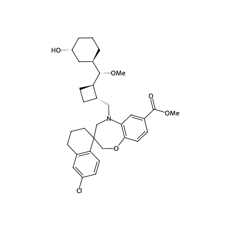 COC(=O)c1ccc2c(c1)N(C[C@@H]1CC[C@H]1[C@@H](OC)[C@@H]1CCC[C@@H](O)C1)CC1(CCCc3cc(Cl)ccc31)CO2